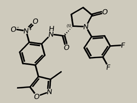 Cc1noc(C)c1-c1ccc([N+](=O)[O-])c(NC(=O)[C@@H]2CCC(=O)N2c2ccc(F)c(F)c2)c1